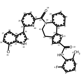 Cc1cccc(F)c1NC(=O)c1cc2c(s1)-c1ccccc1N(C(=O)c1cccc(-c3c[nH]c4c(Cl)cccc34)n1)CC2